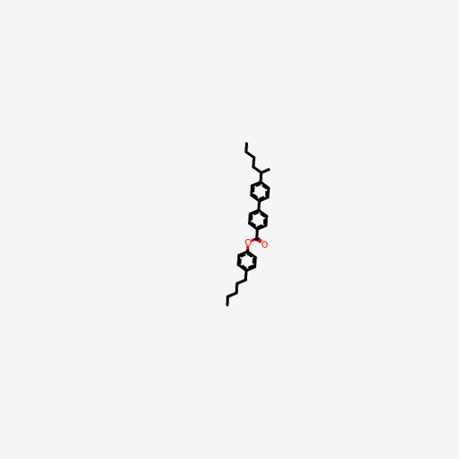 CCCCCc1ccc(OC(=O)c2ccc(-c3ccc(C(C)CCCC)cc3)cc2)cc1